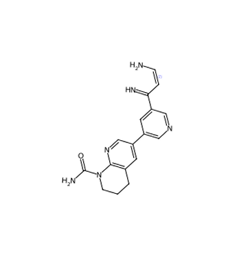 N=C(/C=C\N)c1cncc(-c2cnc3c(c2)CCCN3C(N)=O)c1